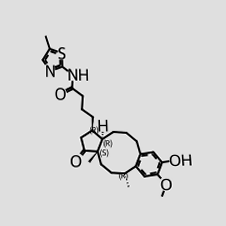 COc1cc2c(cc1O)CCC[C@@H]1[C@H](CCCC(=O)Nc3ncc(C)s3)CC(=O)[C@@]1(C)CC[C@H]2C